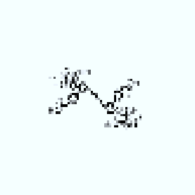 O=C(O)Cc1ccc(-c2cc(CCCCCCc3ccc(O[C@@H]4O[C@H](CO)[C@@H](O)[C@H](O)[C@@H]4O)c(-c4ccc(CC(=O)O)cc4)c3)ccc2O[C@@H]2O[C@H](CO)[C@@H](O)[C@H](O)[C@@H]2O)cc1